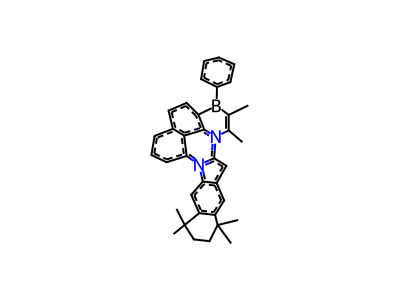 CC1=C(C)n2c3c(ccc4cccc(c43)n3c4cc5c(cc4cc23)C(C)(C)CCC5(C)C)B1c1ccccc1